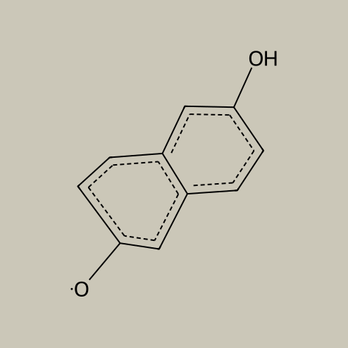 [O]c1ccc2cc(O)ccc2c1